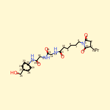 CC(C)C1CC(=O)N(CCCCCC(=O)NCC(=O)NCC(=O)Nc2ccc(CO)cc2)C1=O